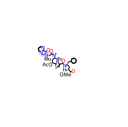 CC[C@H](C)[C@H](NC(=O)c1ncccn1)C(=O)N(C)C(C[C@@H](OC(C)=O)c1nc(C(=O)N[C@@H](Cc2ccccc2)C[C@H](C)C(=O)OC)cs1)C(C)C